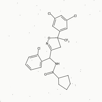 O=C(NC(C1=NOC(c2cc(Cl)cc(Cl)c2)(C(F)(F)F)C1)c1ccccc1Cl)C1CCCC1